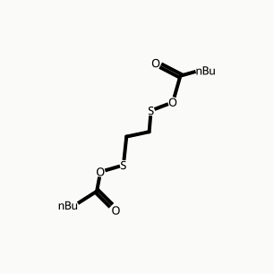 CCCCC(=O)OSCCSOC(=O)CCCC